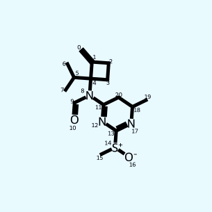 C=C1CCC1(C(C)C)N(C=O)C1=NC([S+](C)[O-])=NC(C)C1